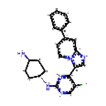 N[C@H]1CC[C@H](Nc2ncc(F)c(-c3cnc4cc(-c5ccccc5)ccn34)n2)CC1